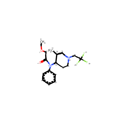 COCC(=O)N(c1ccccc1)C1CCN(CC(F)(F)F)CC1C